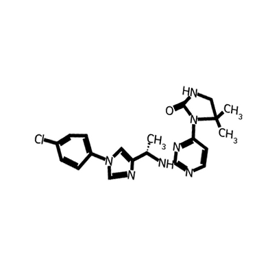 C[C@H](Nc1nccc(N2C(=O)NCC2(C)C)n1)c1cn(-c2ccc(Cl)cc2)cn1